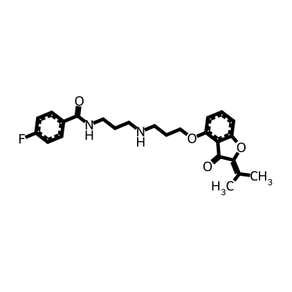 CC(C)=C1Oc2cccc(OCCCNCCCNC(=O)c3ccc(F)cc3)c2C1=O